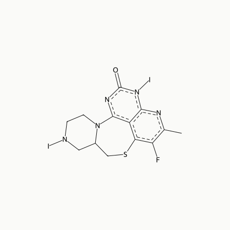 Cc1nc2c3c(nc(=O)n2I)N2CCN(I)CC2CSc3c1F